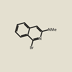 CNc1cc2ccccc2c(Br)n1